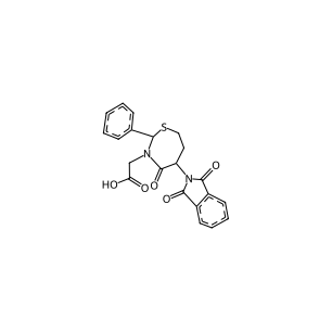 O=C(O)CN1C(=O)C(N2C(=O)c3ccccc3C2=O)CCSC1c1ccccc1